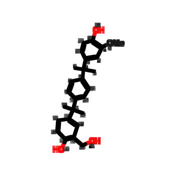 COc1cc(C(C)(C)c2ccc(C(C)(C)c3ccc(O)c(CO)c3)cc2)ccc1O